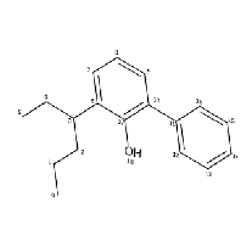 CCCC(CC)c1cccc(-c2ccccc2)c1O